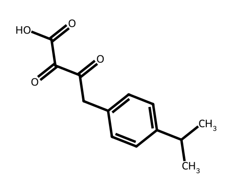 CC(C)c1ccc(CC(=O)C(=O)C(=O)O)cc1